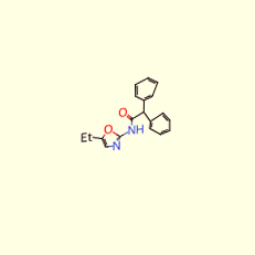 CCc1cnc(NC(=O)C(c2ccccc2)c2ccccc2)o1